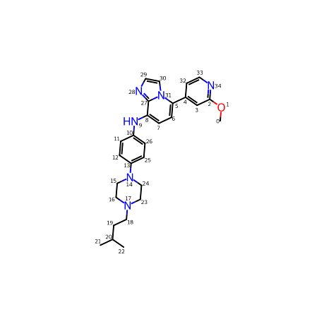 COc1cc(-c2ccc(Nc3ccc(N4CCN(CCC(C)C)CC4)cc3)c3nccn23)ccn1